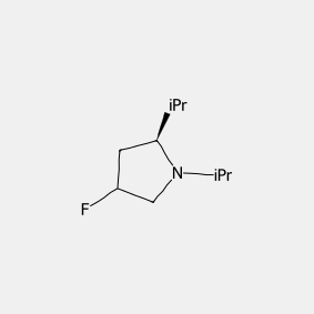 CC(C)[C@@H]1CC(F)CN1C(C)C